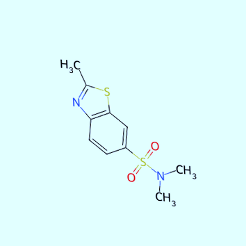 Cc1nc2ccc(S(=O)(=O)N(C)C)cc2s1